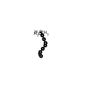 C[Si](C)(C)c1ccc(-c2ccc(-c3ccc4ccc(-c5ccc(-c6ccc7sc8ccccc8c7c6)cc5)cc4c3)cc2)cc1